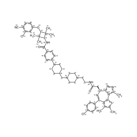 Cc1sc2c(c1C)C(c1ccc(Cl)cc1)=N[C@@H](CC(=O)NCCN1CCN(CC3CCN(c4ncc(C(=O)NC5C(C)(C)C(Oc6ccc(C#N)c(Cl)c6)C5(C)C)cn4)CC3)CC1)c1nnc(C)n1-2